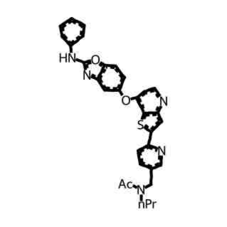 CCCN(Cc1ccc(-c2cc3nccc(Oc4ccc5oc(Nc6ccccc6)nc5c4)c3s2)nc1)C(C)=O